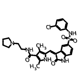 Cc1[nH]c(/C=C2\C(=O)Nc3ccc(S(=O)(=O)Nc4cccc(Cl)c4)cc32)c(C)c1C(=O)NCCN1CCCC1